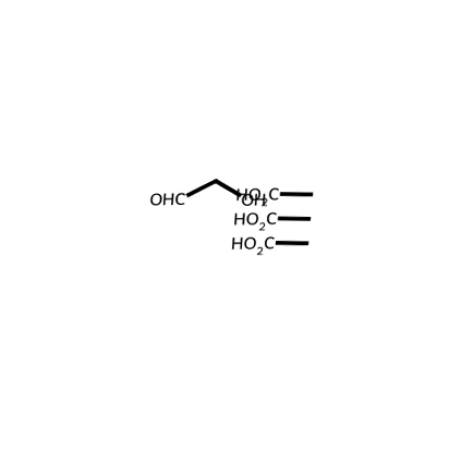 CC(=O)O.CC(=O)O.CC(=O)O.O=CCO